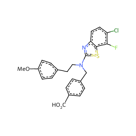 COc1ccc(CCN(Cc2ccc(C(=O)O)cc2)c2nc3ccc(Cl)c(F)c3s2)cc1